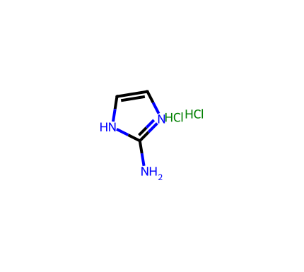 Cl.Cl.Nc1ncc[nH]1